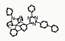 c1ccc(-c2ccc(-c3nc(-c4ccccc4)nc(-c4ccc5c(c4)C4(c6ccccc6-5)c5ccccc5N(c5ccccc5)c5ccccc54)n3)cc2)cc1